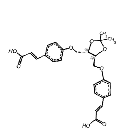 CC1(C)O[C@@H](COc2ccc(C=CC(=O)O)cc2)[C@H](COc2ccc(C=CC(=O)O)cc2)O1